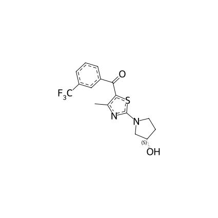 Cc1nc(N2CC[C@H](O)C2)sc1C(=O)c1cccc(C(F)(F)F)c1